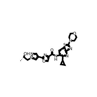 C[C@H](O)Cn1cc(-c2nc(C(=O)Nc3cc4sc(N5CCOCC5)nc4nc3C3CC3)co2)cn1